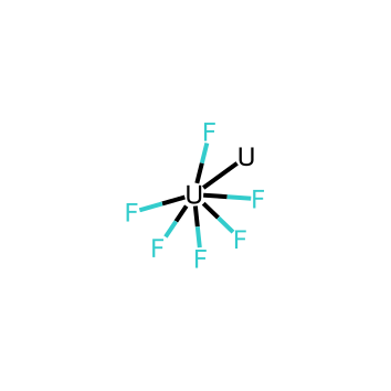 [F][U]([F])([F])([F])([F])([F])[U]